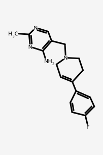 Cc1ncc(CN2CC=C(c3ccc(F)cc3)CC2)c(N)n1